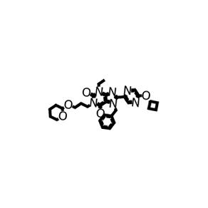 CCn1c(=O)n(CCCOC2CCCCO2)c(=O)c2c1nc(-c1cnc(OC3CCC3)cn1)n2Cc1ccccc1